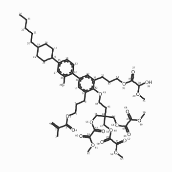 C=C(C)C(=O)OCCCc1cc(-c2ccc(C3CCC(CCCCC)CC3)cc2F)cc(CCCOC(=O)C(O)OC)c1OCCC(COC(=O)C(=O)OC)(COC(=O)C(=O)OC)COC(=O)C(=O)OC